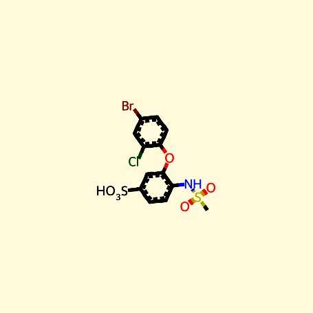 CS(=O)(=O)Nc1ccc(S(=O)(=O)O)cc1Oc1ccc(Br)cc1Cl